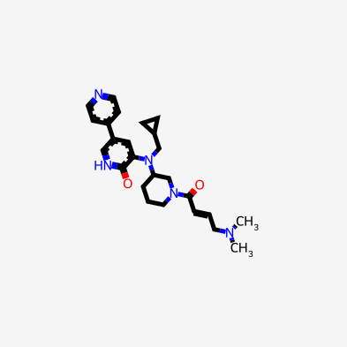 CN(C)C/C=C/C(=O)N1CCCC(N(CC2CC2)c2cc(-c3ccncc3)c[nH]c2=O)C1